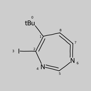 CC(C)(C)C1=C(I)N=CN=C=C1